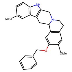 COc1ccc2[nH]c3c(c2c1)CC1c2cc(OCc4ccccc4)c(OC)cc2CCN1C3